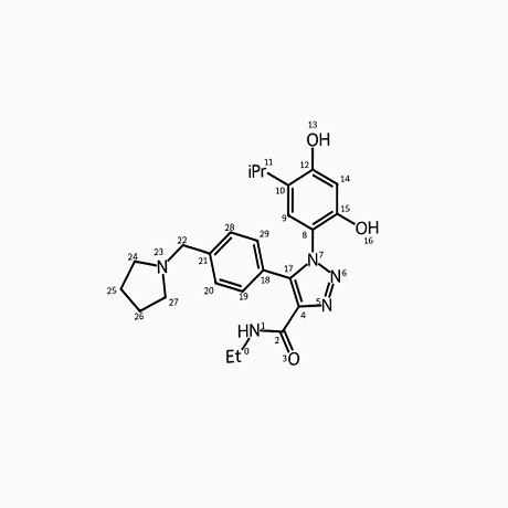 CCNC(=O)c1nnn(-c2cc(C(C)C)c(O)cc2O)c1-c1ccc(CN2CCCC2)cc1